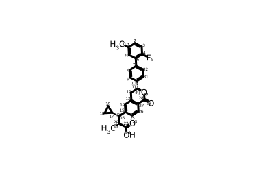 Cc1ccc(F)c(-c2ccc([C@H]3Cc4cc([C@H](C5CC5)[C@H](C)C(=O)O)ccc4C(=O)O3)cc2)c1